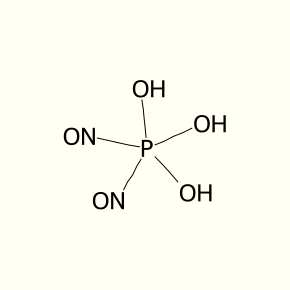 O=NP(O)(O)(O)N=O